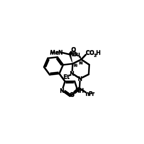 CCCC[C@]1(C(=O)O)CCN(C(=O)CCC)N(CC)[C@@]1(C(=O)NC)c1ccccc1-c1c[nH]cn1